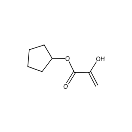 C=C(O)C(=O)OC1CCCC1